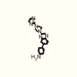 Nc1ccc(-c2ccc3ncc(N4CCN(c5cnccn5)CC4)nc3c2)cc1